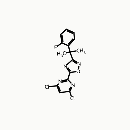 CC(C)(c1noc(-c2nc(Cl)cc(Cl)n2)n1)c1ccccc1F